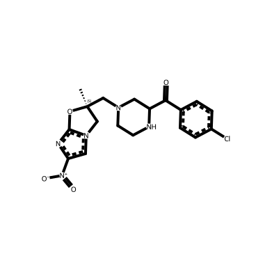 C[C@]1(CN2CCNC(C(=O)c3ccc(Cl)cc3)C2)Cn2cc([N+](=O)[O-])nc2O1